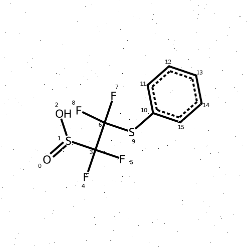 O=S(O)C(F)(F)C(F)(F)Sc1ccccc1